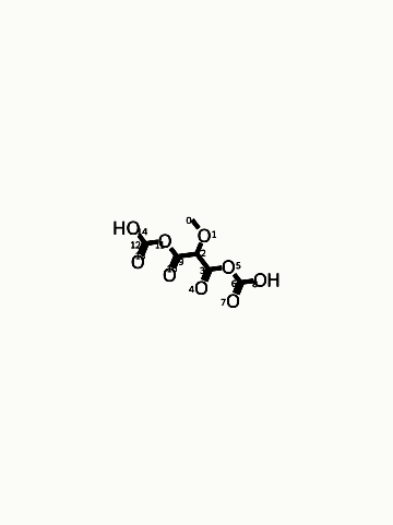 COC(C(=O)OC(=O)O)C(=O)OC(=O)O